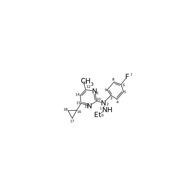 CCNN(c1ccc(F)cc1)c1nc(C)cc(C2CC2)n1